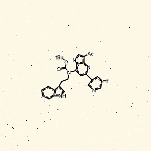 CC(=O)c1cnn2c(N(CCc3c[nH]c4ccccc34)C(=O)OC(C)(C)C)cc(-c3cncc(F)c3)nc12